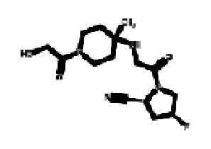 CC1(NCC(=O)N2C[C@@H](F)C[C@H]2C#N)CCN(C(=O)CO)CC1